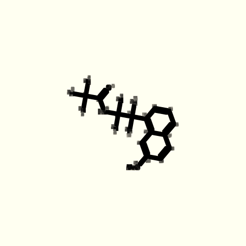 [2H]C([2H])([2H])C(=O)NC([2H])([2H])C([2H])([2H])c1cccc2ccc(OC)cc12